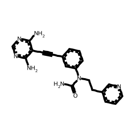 NC(=O)N(CCc1cccnc1)c1cccc(C#Cc2c(N)ncnc2N)c1